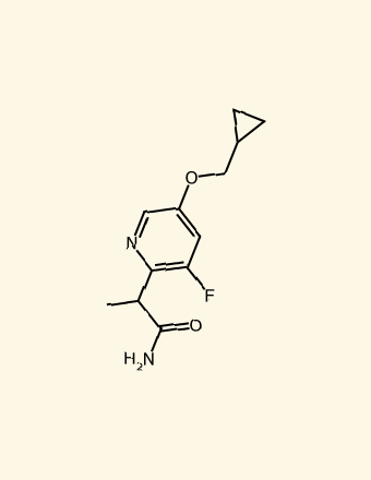 CC(C(N)=O)c1ncc(OCC2CC2)cc1F